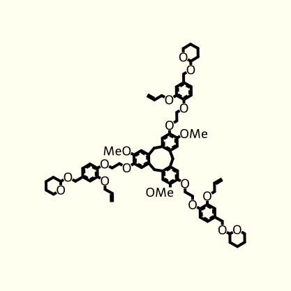 C=CCOc1cc(COC2CCCCO2)ccc1OCCOc1cc2c(cc1OC)Cc1cc(OCCOc3ccc(COC4CCCCO4)cc3OCC=C)c(OC)cc1Cc1cc(OCCOc3ccc(COC4CCCCO4)cc3OCC=C)c(OC)cc1C2